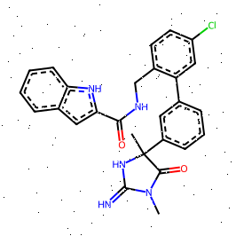 CN1C(=N)NC(C)(c2cccc(-c3cc(Cl)ccc3CNC(=O)c3cc4ccccc4[nH]3)c2)C1=O